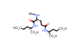 CC(C)(C)N[C@@H](CCC(=O)N[C@@H](CCC(=O)O)C(=O)O)C(=O)N[C@@H](CCC(=O)O)C(=O)O